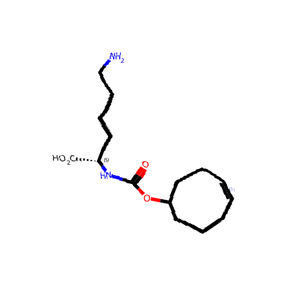 NCCCC[C@H](NC(=O)OC1CC/C=C\CCC1)C(=O)O